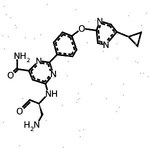 NC[C@@H](C=O)Nc1cc(C(N)=O)nc(-c2ccc(Oc3cnc(C4CC4)cn3)cc2)n1